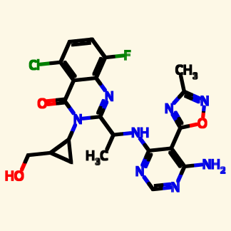 Cc1noc(-c2c(N)ncnc2NC(C)c2nc3c(F)ccc(Cl)c3c(=O)n2C2CC2CO)n1